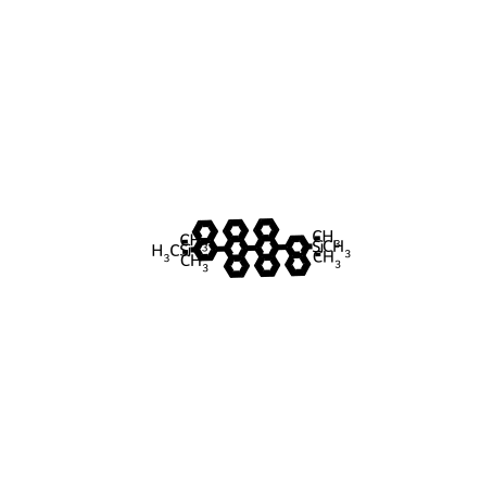 C[Si](C)(C)c1ccc(-c2c3ccccc3c(-c3c4ccccc4c(-c4ccc([Si](C)(C)C)c5ccccc45)c4ccccc34)c3ccccc23)c2ccccc12